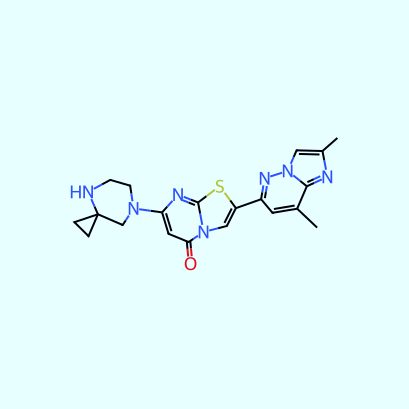 Cc1cn2nc(-c3cn4c(=O)cc(N5CCNC6(CC6)C5)nc4s3)cc(C)c2n1